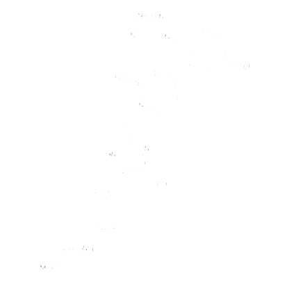 COC(=O)Nc1ccc(-c2[nH]c(Cn3ccc(-c4cc(Cl)ccc4-n4cnnn4)cc3=O)nc2C)cc1